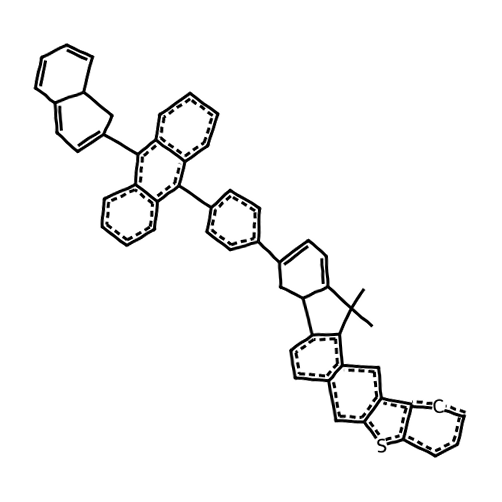 CC1(C)C2=CC=C(c3ccc(-c4c5ccccc5c(C5=CC=C6C=CC=CC6C5)c5ccccc45)cc3)CC2c2ccc3cc4sc5ccccc5c4cc3c21